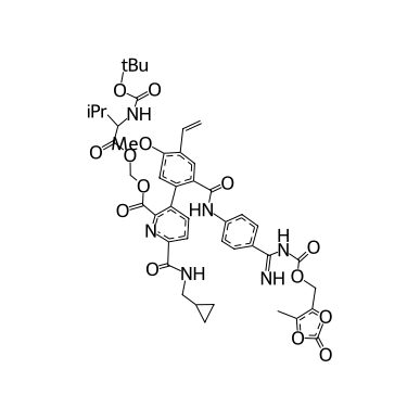 C=Cc1cc(C(=O)Nc2ccc(C(=N)NC(=O)OCc3oc(=O)oc3C)cc2)c(-c2ccc(C(=O)NCC3CC3)nc2C(=O)OCOC(=O)C(NC(=O)OC(C)(C)C)C(C)C)cc1OC